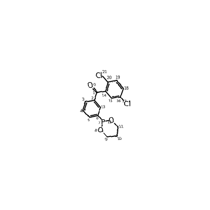 O=C(c1cccc(P2OCCCO2)c1)c1cc(Cl)ccc1Cl